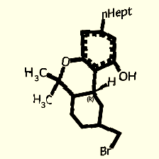 CCCCCCCc1cc(O)c2c(c1)OC(C)(C)C1CCC(CBr)C[C@@H]21